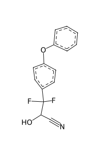 N#CC(O)C(F)(F)c1ccc(Oc2ccccc2)cc1